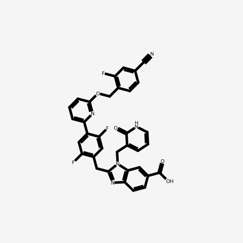 N#Cc1ccc(COc2cccc(-c3cc(F)c(Cc4nc5ccc(C(=O)O)cc5n4Cc4ccc[nH]c4=O)cc3F)n2)c(F)c1